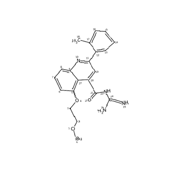 CCC(C)OCCOc1cccc2nc(-c3ccccc3C)cc(C(=O)NC(=N)N)c12